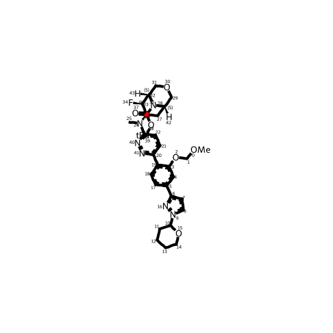 COCOc1cc(-c2ccn(C3CCCCO3)n2)ccc1-c1ccc(N(C)[C@@H]2C[C@H]3COC[C@@H]([C@@H]2F)N3C(=O)OC(C)(C)C)nn1